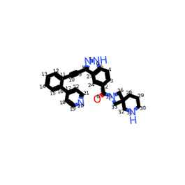 O=C(c1ccc2[nH]nc(C#Cc3ccccc3-c3ccncc3)c2c1)N1CC2(CCCNC2)C1